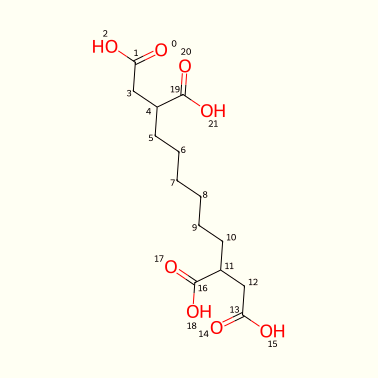 O=C(O)CC(CCCCCCC(CC(=O)O)C(=O)O)C(=O)O